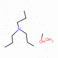 CCCN(CCC)CCC.CO.O